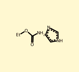 CCOC(N)=O.c1c[nH]cn1